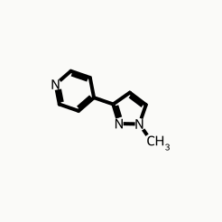 Cn1ccc(-c2ccncc2)n1